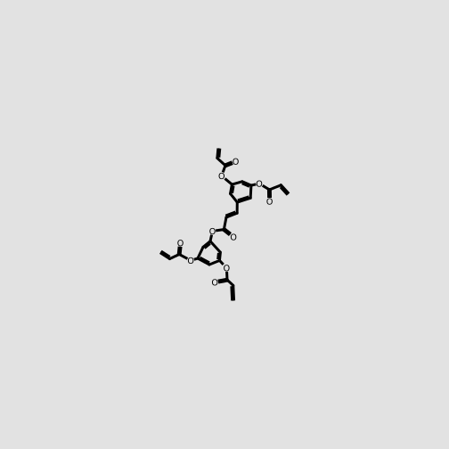 C=CC(=O)Oc1cc(/C=C/C(=O)Oc2cc(OC(=O)C=C)cc(OC(=O)C=C)c2)cc(OC(=O)C=C)c1